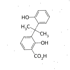 CC(C)(c1ccccc1O)c1cccc(C(=O)O)c1O